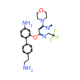 C=N/C(=C\C(=N/CC(F)(F)F)Oc1cc(N)ccc1-c1ccc(CCN)cc1)N1CCOCC1